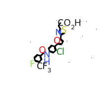 O=C(O)Cc1nc(-c2ccc(-c3ccc(NC(=O)c4ccc(F)c(C(F)(F)F)c4)cc3Cl)o2)cs1